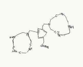 COCc1cc(CN2CCNCCNCCNCC2)cc(CN2CCNCCNCCNCC2)c1